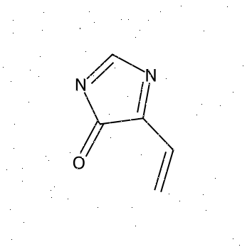 C=CC1=NC=NC1=O